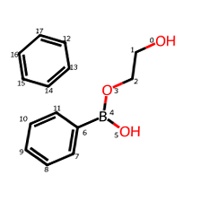 OCCOB(O)c1ccccc1.c1ccccc1